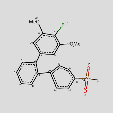 COc1cc(-c2ccccc2-c2ccc(S(C)(=O)=O)cc2)cc(OC)c1F